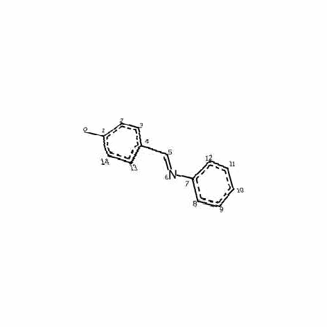 Cc1ccc(C=Nc2ccccc2)cc1